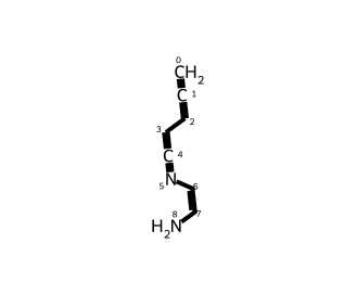 C=C=CC=C=N/C=C\N